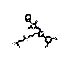 COc1cc(OC)cc(-c2cc(CCCNC(=O)CCC(=O)O)c(/C=C3\SC(=S)N(C4CC5CCC4C5)C3=O)o2)c1